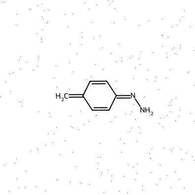 C=C1C=CC(=NN)C=C1